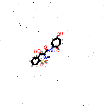 CN1C(C(=O)Nc2ccc(O)ccc2=O)=C(O)c2ccccc2S1(=O)=O